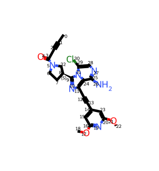 CC#CC(=O)N1CC[C@H](c2nc(C#Cc3cc(OC)nc(OC)c3)c3c(N)ncc(Cl)n23)C1